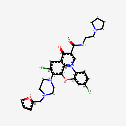 O=C(NCCN1CCCC1)c1cn2c3c(c(N4CCN(Cc5ccco5)CC4)c(F)cc3c1=O)Oc1cc(Cl)ccc1-2